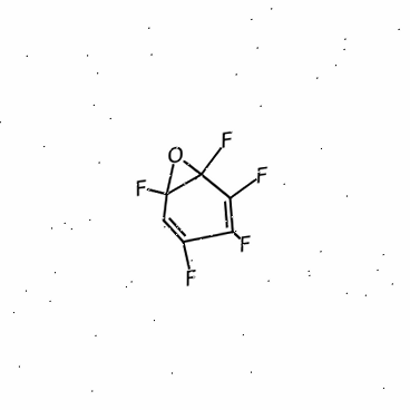 FC1=CC2(F)OC2(F)C(F)=C1F